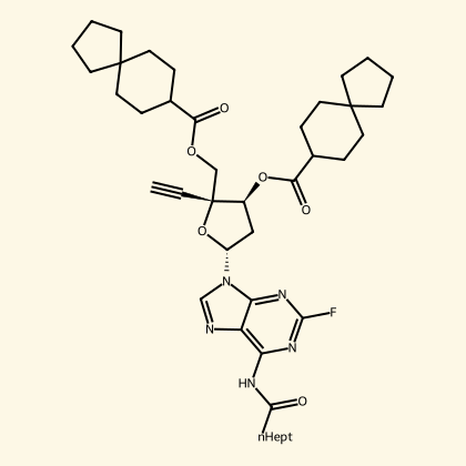 C#C[C@]1(COC(=O)C2CCC3(CCCC3)CC2)O[C@@H](n2cnc3c(NC(=O)CCCCCCC)nc(F)nc32)C[C@@H]1OC(=O)C1CCC2(CCCC2)CC1